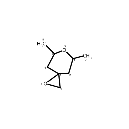 CC1CC2(CO2)CC(C)O1